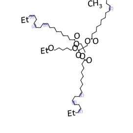 C/C=C\C/C=C\C/C=C\CCCCCCCC(=O)OCC(COC(=O)CCCCCCC/C=C\C/C=C\C/C=C\CC)(COC(=O)CCCCCCC/C=C\C/C=C\C/C=C\CC)C(=O)OCCCCCOCC